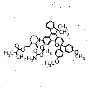 C=C(C)C(=O)OCCC1CCCN(c2cc3c4c(c5c(c3cc2OC)OC(c2ccc(OC)cc2)(c2ccc(OC)cc2)C=C5)C(C)(C)c2ccccc2-4)C1=COC(N)=O